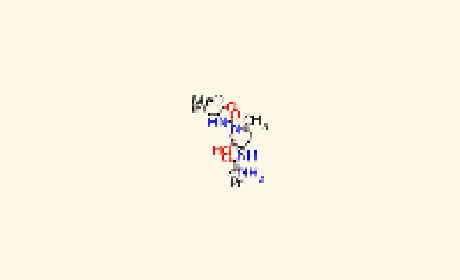 COC(=O)C(CC(C)C)NC(=O)N1C[C@H](O)[C@@H](NC(=O)[C@@H](N)CC(C)C)CC[C@H]1C